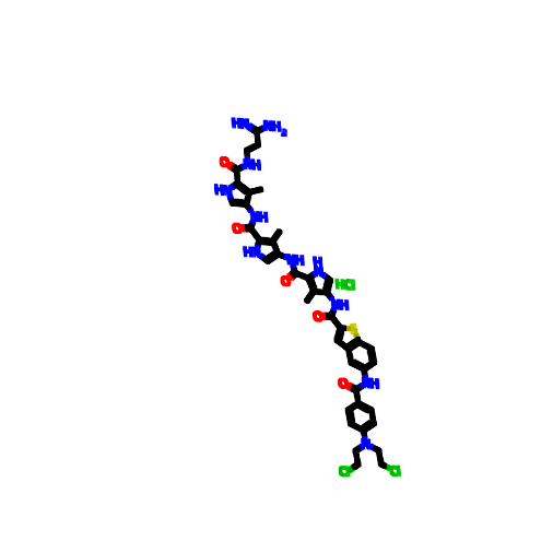 Cc1c(NC(=O)c2cc3cc(NC(=O)c4ccc(N(CCCl)CCCl)cc4)ccc3s2)c[nH]c1C(=O)Nc1c[nH]c(C(=O)Nc2c[nH]c(C(=O)NCCC(=N)N)c2C)c1C.Cl